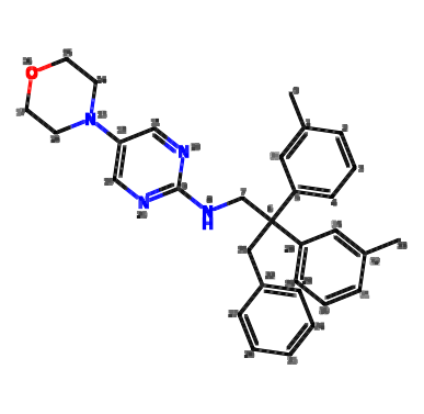 Cc1cccc(C(CNc2ncc(N3CCOCC3)cn2)(Cc2ccccc2)c2cccc(C)c2)c1